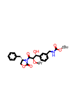 CC(C)O[C@@H](C(=O)N1C(=O)OC[C@@H]1Cc1ccccc1)[C@H](O)c1cccc(CNC(=O)OC(C)(C)C)c1